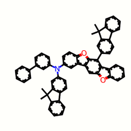 CC1(C)c2ccccc2-c2ccc(-c3c4oc5ccc(N(c6cccc(-c7ccccc7)c6)c6ccc7c(c6)C(C)(C)c6ccccc6-7)cc5c4cc4oc5ccccc5c34)cc21